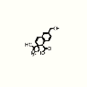 CCc1ccc2c(c1)C=CC(CC)(C(=O)O)C2C(=O)O